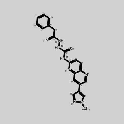 Cn1cc(-c2cnc3ccc(NC(=S)NNC(=O)Cc4ccccc4)nc3c2)cn1